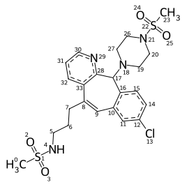 CS(=O)(=O)NCCCC1=Cc2cc(Cl)ccc2C(N2CCN(S(C)(=O)=O)CC2)c2ncccc21